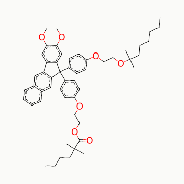 CCCCCCC(C)(C)OCCOc1ccc(C2(c3ccc(OCCOC(=O)C(C)(C)CCCC)cc3)c3cc(OC)c(OC)cc3-c3cc4ccccc4cc32)cc1